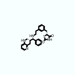 O=C1NC(=O)[C@@H](Cc2cccc(CCN[C@H](c3ccccc3)[C@H]3CNc4cccnc4C3)c2)S1